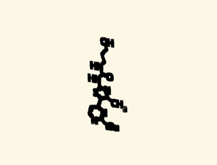 Cc1nc(NC(=O)NCCCO)sc1-c1ccnc(C(C)(C)C)n1